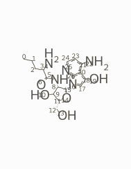 CCCC(N)C(=O)N[C@H]1C(O)[C@@H](CO)O[C@H]1n1cc(O)c2c(N)ccnc21